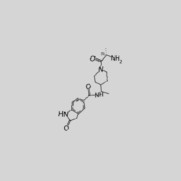 CC(NC(=O)c1ccc2c(c1)CC(=O)N2)C1CCN(C(=O)[C@H](C)N)CC1